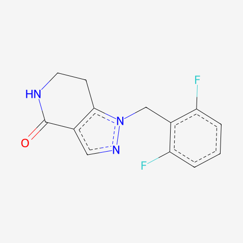 O=C1NCCc2c1cnn2Cc1c(F)cccc1F